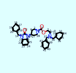 C[C@@H](COC(=O)N1CCC(n2c(=O)n(Cc3ccccc3)c3ccccc32)CC1)N(Cc1ccccc1)Cc1ccccc1